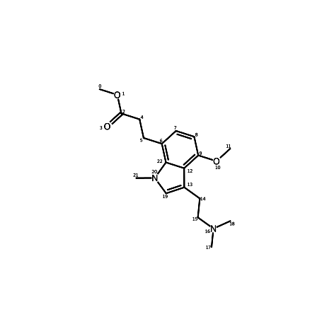 COC(=O)CCc1ccc(OC)c2c(CCN(C)C)cn(C)c12